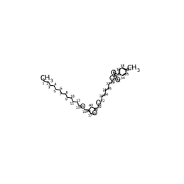 CCCCCCCCCCCCCCOC[C@@H]1CO[C@@H](COCCCCCCCOS(=O)(=O)c2ccc(C)cc2)C1